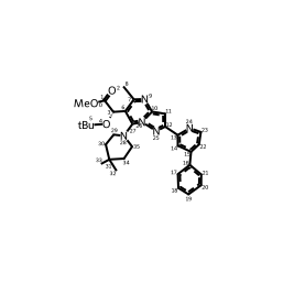 COC(=O)[C@@H](OC(C)(C)C)c1c(C)nc2cc(-c3cc(-c4ccccc4)ccn3)nn2c1N1CCC(C)(C)CC1